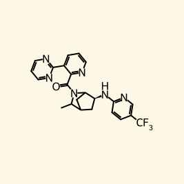 CC1C2CC([C@@H](Nc3ccc(C(F)(F)F)cn3)C2)N1C(=O)c1ncccc1-c1ncccn1